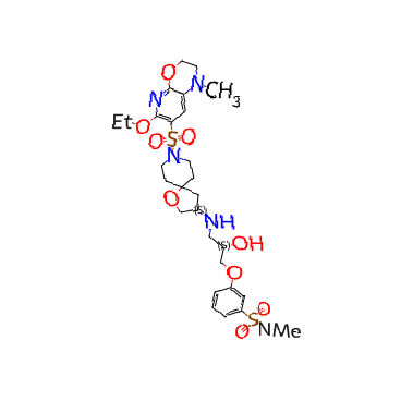 CCOc1nc2c(cc1S(=O)(=O)N1CCC3(CC1)C[C@H](NC[C@H](O)COc1cccc(S(=O)(=O)NC)c1)CO3)N(C)CCO2